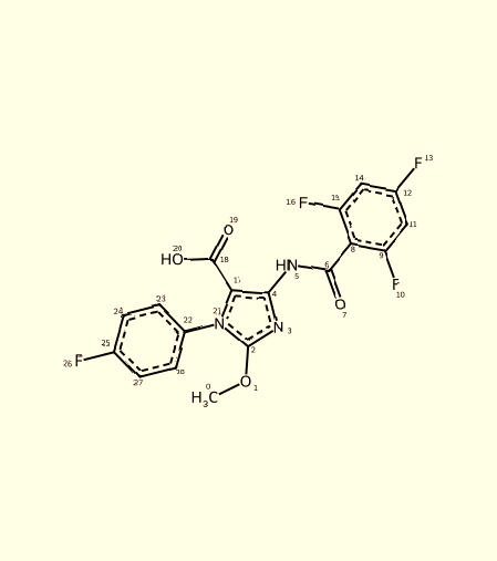 COc1nc(NC(=O)c2c(F)cc(F)cc2F)c(C(=O)O)n1-c1ccc(F)cc1